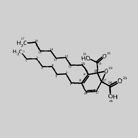 CCCCCCCCC1=C(CCCCCCCC)C2(C(=O)O)OC2(C(=O)O)C=C1